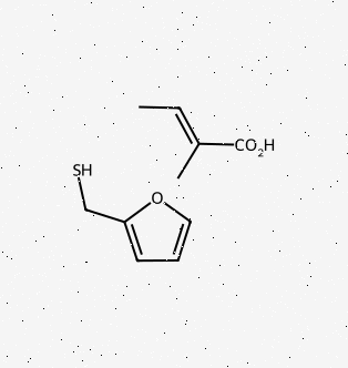 C/C=C(\C)C(=O)O.SCc1ccco1